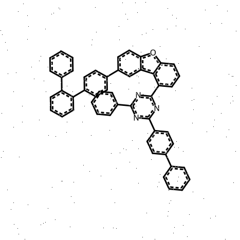 c1ccc(-c2ccc(-c3nc(-c4ccccc4)nc(-c4cccc5oc6ccc(-c7ccc(-c8ccccc8-c8ccccc8)cc7)cc6c45)n3)cc2)cc1